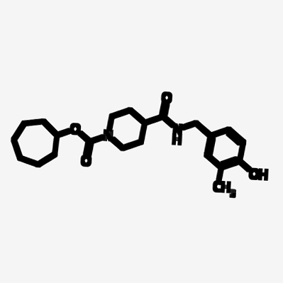 Cc1cc(CNC(=O)C2CCN(C(=O)OC3CCCCCC3)CC2)ccc1O